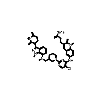 C=C(CCC1=Cc2cc(Nc3nc(N4CCCC(CN(C)c5cccc6c(C7CCC(=C)NC7=C)nn(C)c56)C4)ncc3Cl)ccc2N(C)C1=C)NC